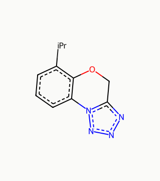 CC(C)c1cccc2c1OCc1nnnn1-2